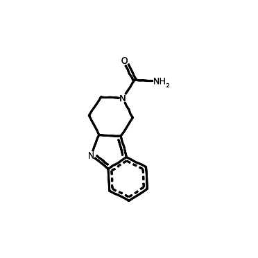 NC(=O)N1CCC2N=c3ccccc3=C2C1